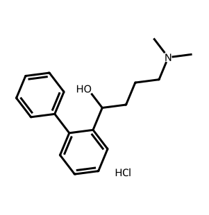 CN(C)CCCC(O)c1ccccc1-c1ccccc1.Cl